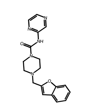 O=C(Nc1cnccn1)N1CCN(Cc2cc3ccccc3o2)CC1